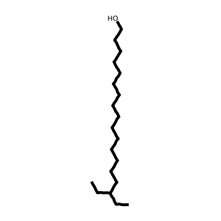 CCC(CC)CCCCCCCCCCCCCCCO